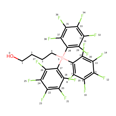 OCCCC[B-](c1c(F)c(F)c(F)c(F)c1F)(c1c(F)c(F)c(F)c(F)c1F)c1c(F)c(F)c(F)c(F)c1F